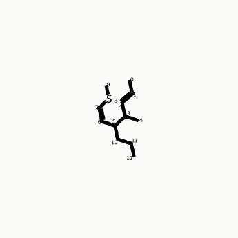 CC=CC(C)C(/C=C\SC)CCC